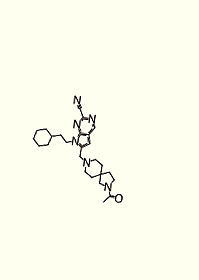 CC(=O)N1CCC2(CCN(Cc3cc4cnc(C#N)nc4n3CCC3CCCCC3)CC2)C1